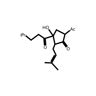 CC(=O)C1CC(O)(C(=O)CCC(C)C)C(CC=C(C)C)C1=O